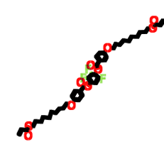 C=CC(=O)OCCCCCCCCCCOc1ccc(C(=O)Oc2cc(F)c(OC(=O)c3ccc(OCCCCCCCCCCOC(=O)C=C)cc3)c(F)c2F)cc1